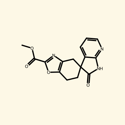 COC(=O)c1nc2c(o1)CCC1(C2)C(=O)Nc2ncccc21